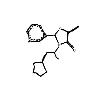 CC1SC(c2cccnc2)N(C(C)CC2CCCC2)C1=O